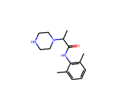 Cc1cccc(C)c1NC(=O)C(C)N1CCNCC1